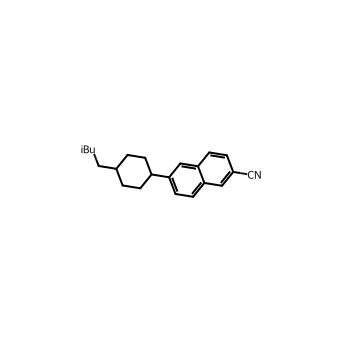 CCC(C)CC1CCC(c2ccc3cc(C#N)ccc3c2)CC1